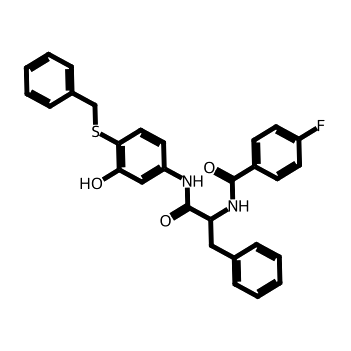 O=C(NC(Cc1ccccc1)C(=O)Nc1ccc(SCc2ccccc2)c(O)c1)c1ccc(F)cc1